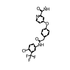 CNC(=O)c1cc(Oc2ccc(CC(=O)Nc3ccc(Cl)c(C(F)(F)F)c3)cc2)ccn1